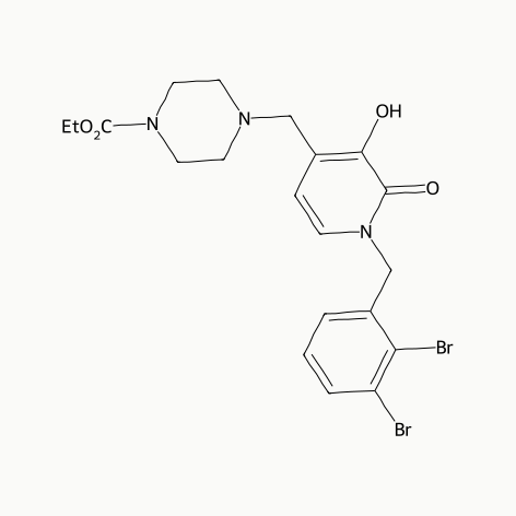 CCOC(=O)N1CCN(Cc2ccn(Cc3cccc(Br)c3Br)c(=O)c2O)CC1